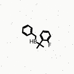 CC(C)(BCc1ccccc1)c1ccccc1F